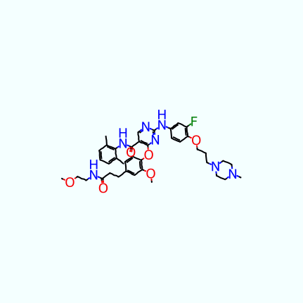 COCCNC(=O)CCc1ccc(Oc2nc(Nc3ccc(OCCCN4CCN(C)CC4)c(F)c3)ncc2C(=O)Nc2c(C)cccc2C)c(OC)c1